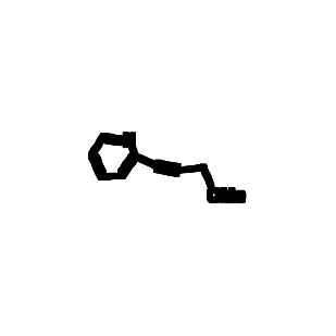 [CH2]OCC#Cc1ccccn1